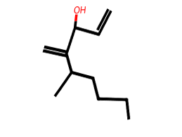 C=CC(O)C(=C)[C](C)CCCC